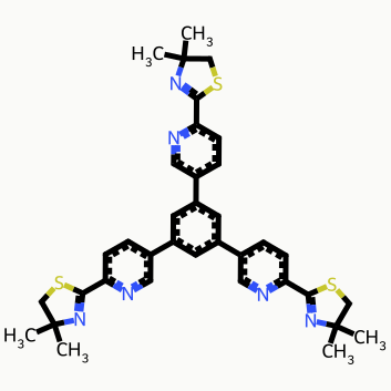 CC1(C)CSC(c2ccc(-c3cc(-c4ccc(C5=NC(C)(C)CS5)nc4)cc(-c4ccc(C5=NC(C)(C)CS5)nc4)c3)cn2)=N1